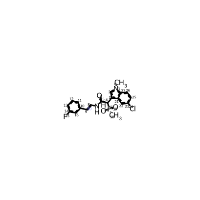 Cn1cc(C(C(=O)N/C=C/c2cccc(F)c2)P(C)(=O)O)c2cc(Cl)ccc21